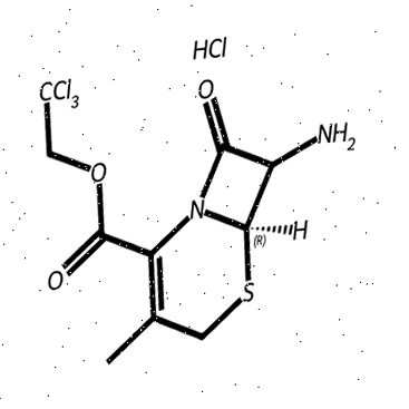 CC1=C(C(=O)OCC(Cl)(Cl)Cl)N2C(=O)C(N)[C@H]2SC1.Cl